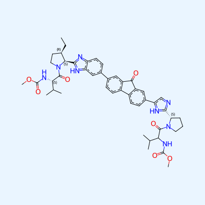 CC[C@@H]1CCN(C(=O)[C@@H](NC(=O)OC)C(C)C)[C@@H]1c1nc2ccc(-c3ccc4c(c3)C(=O)c3cc(-c5cnc([C@@H]6CCCN6C(=O)C(NC(=O)OC)C(C)C)[nH]5)ccc3-4)cc2[nH]1